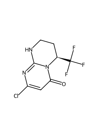 O=c1cc(Cl)nc2n1[C@H](C(F)(F)F)CCN2